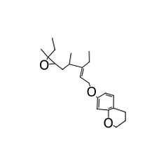 CC/C(=C\COc1ccc2c(c1)OCCC2)C(C)CC1OC1(C)CC